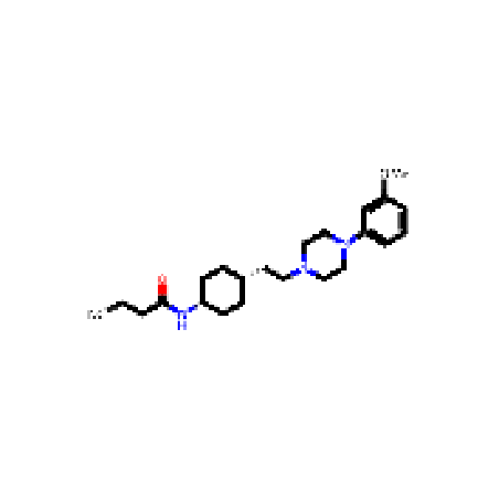 COc1cccc(N2CCN(CC[C@H]3CC[C@H](NC(=O)CCC#N)CC3)CC2)c1